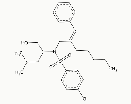 CCCCCC(=Cc1ccccc1)CN(C(CO)CC(C)C)S(=O)(=O)c1ccc(Cl)cc1